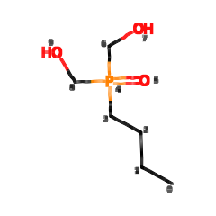 CCCCP(=O)(CO)CO